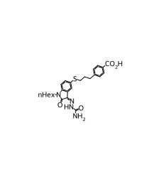 CCCCCCN1C(=O)/C(=N\NC(N)=O)c2cc(SCCCc3ccc(C(=O)O)cc3)ccc21